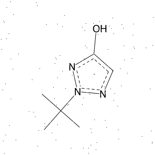 CC(C)(C)n1ncc(O)n1